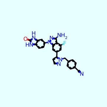 N#Cc1ccc(Cn2nccc2-c2cc(F)c3c(N)nn(-c4ccc5[nH]c(=O)[nH]c5c4)c3c2)cc1